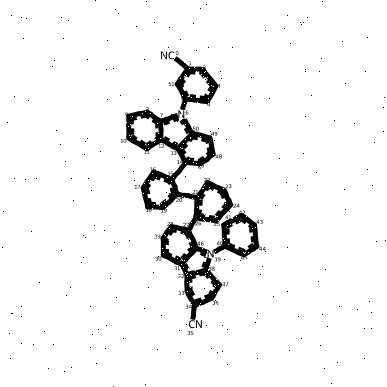 N#Cc1cccc(-n2c3ccccc3c3c(-c4ccccc4-c4ccccc4-c4cccc5c6cc(C#N)ccc6n(-c6ccccc6)c45)cccc32)c1